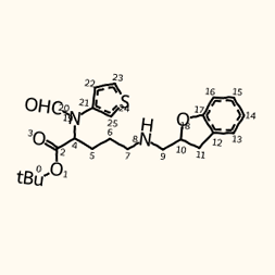 CC(C)(C)OC(=O)C(CCCNCC1Cc2ccccc2O1)N(C=O)c1ccsc1